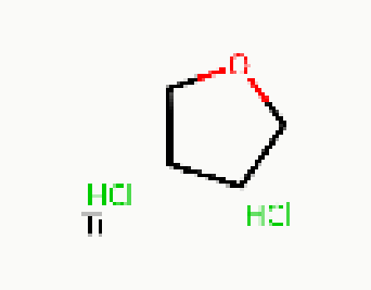 C1CCOC1.Cl.Cl.[Ti]